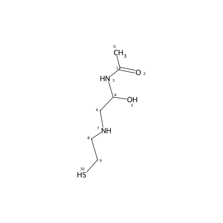 CC(=O)NC(O)CNCCS